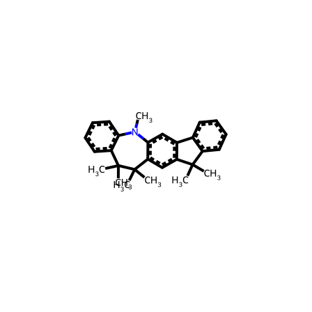 CN1c2ccccc2C(C)(C)C(C)(C)c2cc3c(cc21)-c1ccccc1C3(C)C